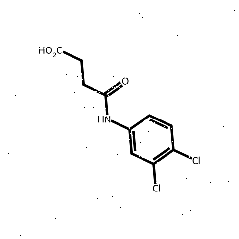 O=C(O)CCC(=O)Nc1ccc(Cl)c(Cl)c1